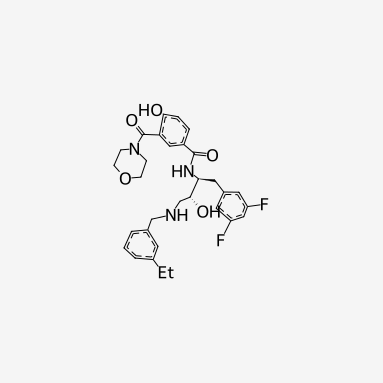 CCc1cccc(CNC[C@@H](O)[C@H](Cc2cc(F)cc(F)c2)NC(=O)c2ccc(O)c(C(=O)N3CCOCC3)c2)c1